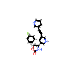 O=C1N[C@H](c2cncc(C#Cc3cccnc3)c2)[C@@H](c2ccc(F)cc2)O1